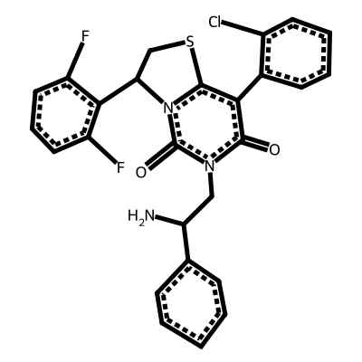 NC(Cn1c(=O)c(-c2ccccc2Cl)c2n(c1=O)C(c1c(F)cccc1F)CS2)c1ccccc1